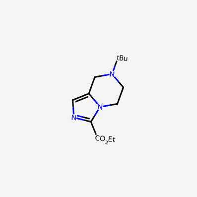 CCOC(=O)c1ncc2n1CCN(C(C)(C)C)C2